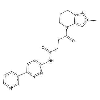 Cc1cc2n(n1)CCCN2C(=O)CCC(=O)Nc1ccc(-c2cccnc2)nn1